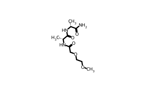 COCCOCC(=O)N[C@H](C)C(=O)N[C@H](C)C(N)=O